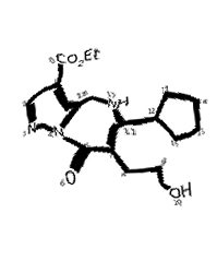 CCOC(=O)c1cnn2c(=O)c(CCO)c(C3CCCC3)[nH]c12